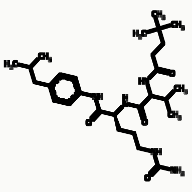 CC(C)Cc1ccc(NC(=O)[C@H](CCCNC(N)=O)NC(=O)C(NC(=O)CCC(C)(C)C)C(C)C)cc1